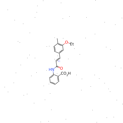 CCOc1cc(/C=C/C(=O)Nc2ccccc2C(=O)O)ccc1C